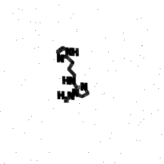 NN1CCN=C1NCCCc1ncc[nH]1